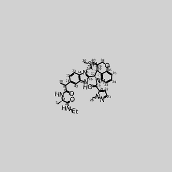 CCNC(=O)[C@@H](C)NC(=O)C(C)c1ccc2nc([C@@H](NC(=O)c3ccnn3C)[C@]3(/C=[SiH]/C)c4ccccc4OCC3C)[nH]c2c1